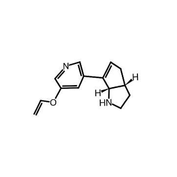 C=COc1cncc(C2=CC[C@@H]3CCN[C@H]23)c1